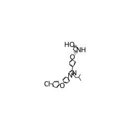 CC(C)Cc1nc(-c2ccc(OC[C@@H]3C[C@@H](O)CN3)cc2)cn1-c1ccc(Oc2ccc(Cl)cc2)cc1